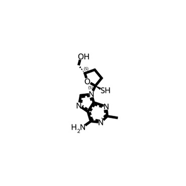 Cc1nc(N)c2ncn([C@@]3(S)CC[C@@H](CO)O3)c2n1